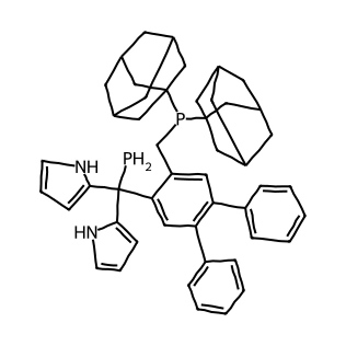 PC(c1ccc[nH]1)(c1ccc[nH]1)c1cc(-c2ccccc2)c(-c2ccccc2)cc1CP(C12CC3CC(CC(C3)C1)C2)C12CC3CC(CC(C3)C1)C2